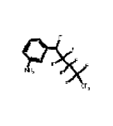 Nc1cccc(C(F)C(F)(F)C(F)(F)C(F)(F)C(F)(F)F)c1